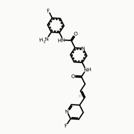 Nc1cc(F)ccc1NC(=O)c1ccc(NC(=O)C/C=C/C2C=NC(F)=CC2)cn1